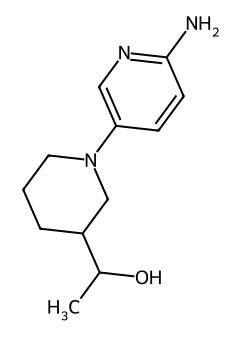 CC(O)C1CCCN(c2ccc(N)nc2)C1